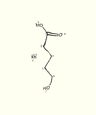 O=C(O)CCCCO.[KH]